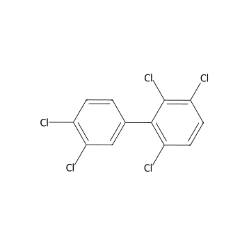 Clc1ccc(-c2c(Cl)ccc(Cl)c2Cl)cc1Cl